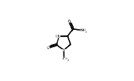 CN1CC(C(N)=O)NC1=O